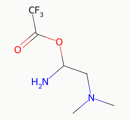 CN(C)CC(N)OC(=O)C(F)(F)F